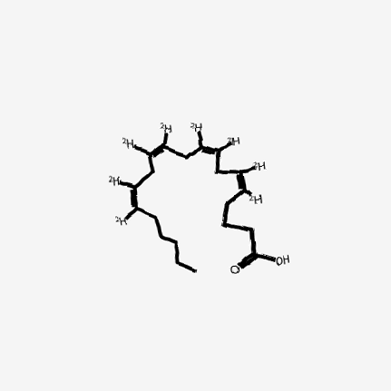 [2H]/C(CCCCC)=C(\[2H])C/C([2H])=C(/[2H])C/C([2H])=C(/[2H])C/C([2H])=C(/[2H])CCCC(=O)O